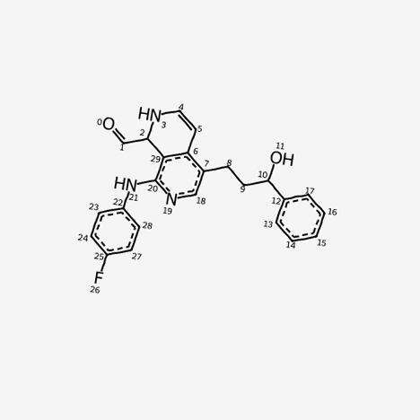 O=CC1NC=Cc2c(CCC(O)c3ccccc3)cnc(Nc3ccc(F)cc3)c21